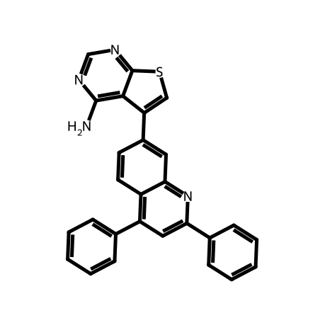 Nc1ncnc2scc(-c3ccc4c(-c5ccccc5)cc(-c5ccccc5)nc4c3)c12